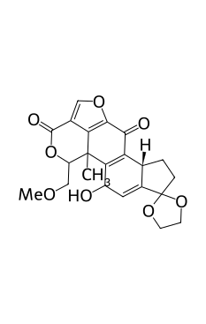 COCC1OC(=O)c2coc3c2C1(C)C1=C(C3=O)[C@@H]2CCC3(OCCO3)C2=CC1O